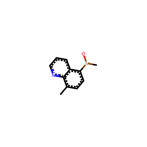 Cc1ccc([S+](C)[O-])c2cccnc12